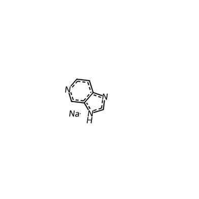 [Na].c1cc2nc[nH]c2cn1